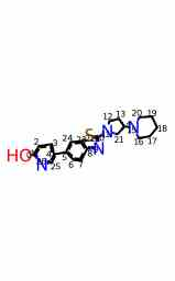 Oc1ccc(-c2ccc3nc(N4CC[C@@H](N5CCCCC5)C4)sc3c2)cn1